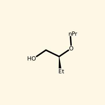 CCCO[C@@H](CC)CO